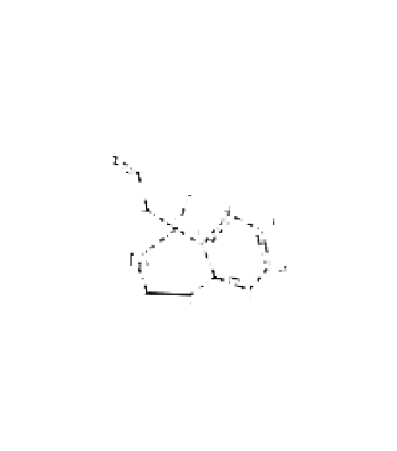 C=CCC1(C)NCCc2ccccc21